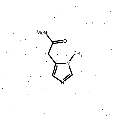 CNC(=O)Cc1cncn1C